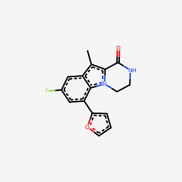 Cc1c2n(c3c(-c4ccco4)cc(F)cc13)CCNC2=O